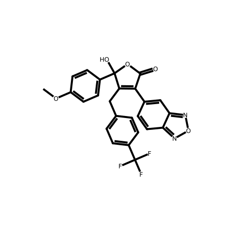 COc1ccc(C2(O)OC(=O)C(c3ccc4nonc4c3)=C2Cc2ccc(C(F)(F)F)cc2)cc1